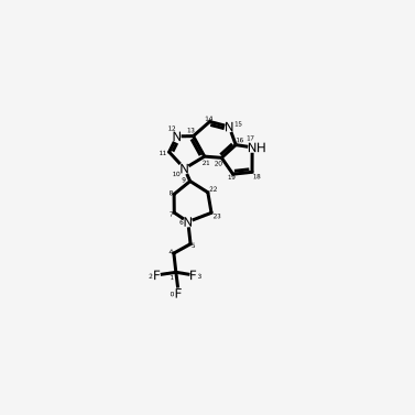 FC(F)(F)CCN1CCC(n2cnc3cnc4[nH]ccc4c32)CC1